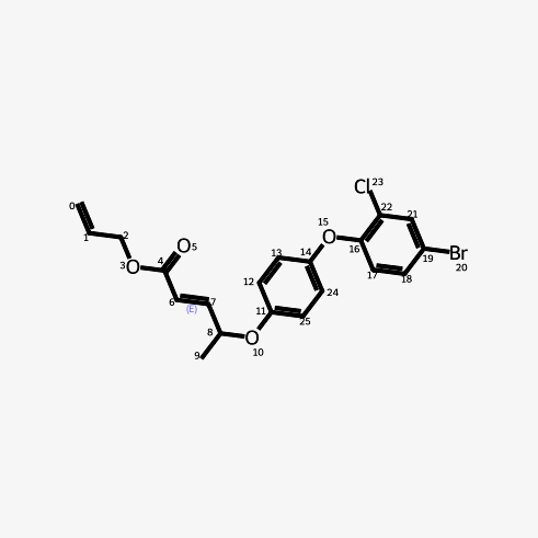 C=CCOC(=O)/C=C/C(C)Oc1ccc(Oc2ccc(Br)cc2Cl)cc1